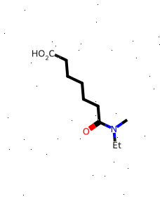 CCN(C)C(=O)CCCCCC(=O)O